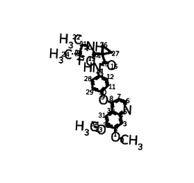 COc1cc2nccc(Oc3ccc(NC(=O)C4(C(=O)NC(C)[C@@H](C)F)CC4)cc3)c2cc1OC